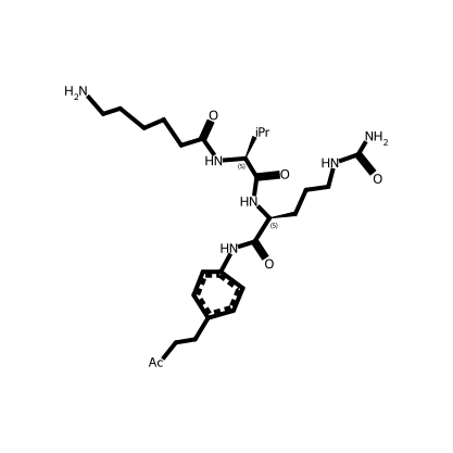 CC(=O)CCc1ccc(NC(=O)[C@H](CCCNC(N)=O)NC(=O)[C@@H](NC(=O)CCCCCN)C(C)C)cc1